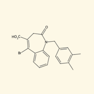 Cc1ccc(CN2C(=O)CC(C(=O)O)=C(Br)c3ccccc32)cc1C